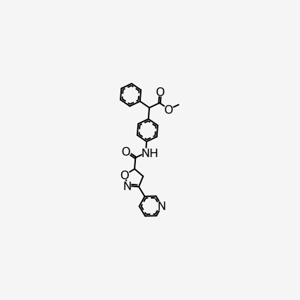 COC(=O)C(c1ccccc1)c1ccc(NC(=O)C2CC(c3cccnc3)=NO2)cc1